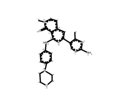 Cc1nc(N)ncc1-c1cc2ccn(C)c(=O)c2c(Nc2ccc(N3CCOCC3)cc2)n1